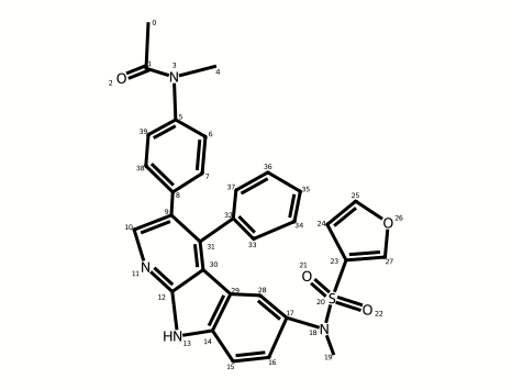 CC(=O)N(C)c1ccc(-c2cnc3[nH]c4ccc(N(C)S(=O)(=O)c5ccoc5)cc4c3c2-c2ccccc2)cc1